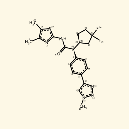 Cc1nc(NC(=O)[C@H](c2ccc(-c3nnn(C)n3)cc2)[C@H]2CCC(F)(F)C2)sc1C